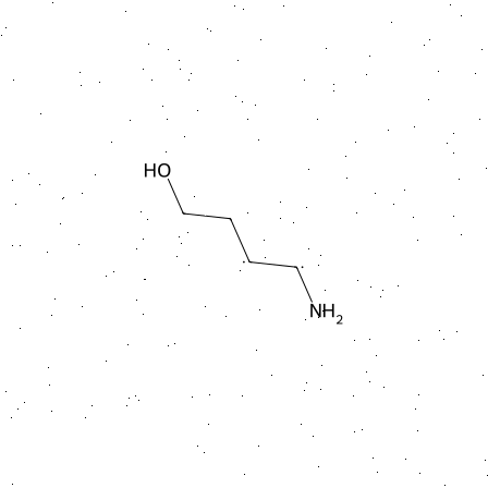 N[CH][CH]CCO